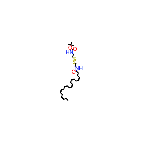 CC/C=C\C/C=C\C/C=C\C/C=C\C/C=C\C/C=C\CCC(=O)NCCSSCCNC(=O)OC(C)(C)C